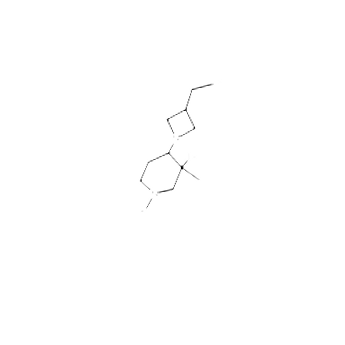 BC1(C)CN(C(C)C)CCC1N1CC(CC(C)C)C1